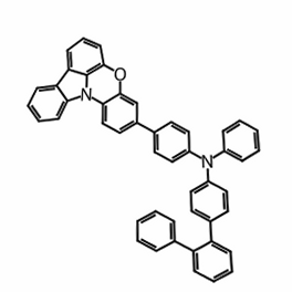 c1ccc(-c2ccccc2-c2ccc(N(c3ccccc3)c3ccc(-c4ccc5c(c4)Oc4cccc6c7ccccc7n-5c46)cc3)cc2)cc1